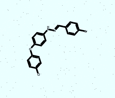 Clc1ccc(Oc2ccc(NN=Cc3ccc(Br)cc3)cc2)cc1